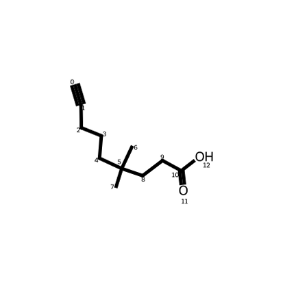 C#CCCCC(C)(C)CCC(=O)O